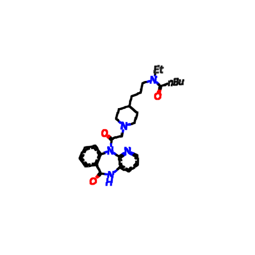 CCCCC(=O)N(CC)CCCC1CCN(CC(=O)N2c3ccccc3C(=O)Nc3cccnc32)CC1